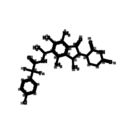 Bc1c(B)c(C(B)NC(=O)C(F)(F)c2ccc(Cl)cc2)c(B)c2c1C(=O)N(C1CCC(=O)NC1=O)C2B